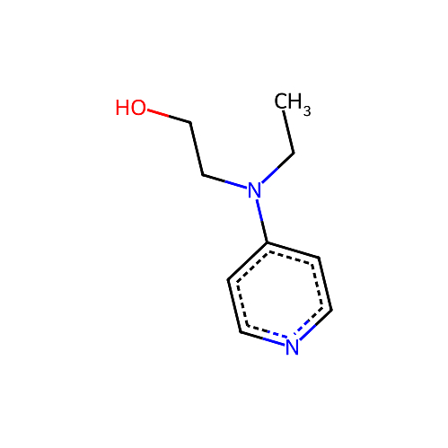 CCN(CCO)c1ccncc1